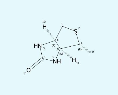 C[C@H]1SC[C@@H]2NC(=O)N[C@@H]21